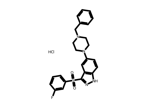 Cl.O=S(=O)(c1cccc(F)c1)c1n[nH]c2ccc(N3CCN(Cc4ccccc4)CC3)cc12